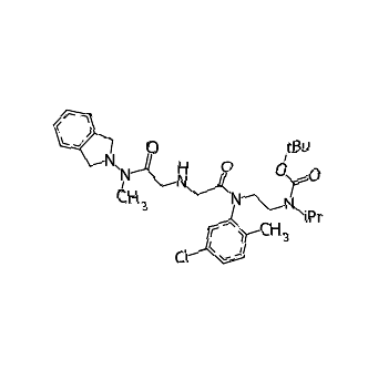 Cc1ccc(Cl)cc1N(CCN(C(=O)OC(C)(C)C)C(C)C)C(=O)CNCC(=O)N(C)N1Cc2ccccc2C1